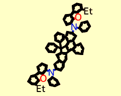 CCc1cccc2c1oc1c(N(c3ccccc3)c3ccc4cc5c(cc4c3)C(c3ccccc3)(c3ccccc3)c3c-5c4ccccc4c4cc(N(c5ccccc5)c5cccc6c5oc5c(CC)cccc56)ccc34)cccc12